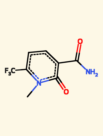 Cn1c(C(F)(F)F)ccc(C(N)=O)c1=O